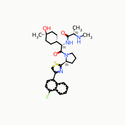 CN[C@@H](C)C(=O)N[C@H](C(=O)N1CCC[C@H]1c1nc(-c2ccc(F)c3ccccc23)cs1)[C@H]1CC[C@](C)(O)CC1